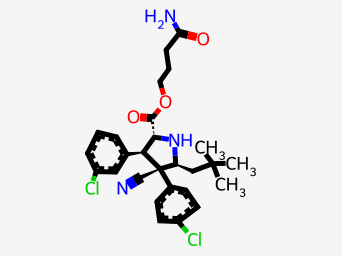 CC(C)(C)C[C@@H]1N[C@@H](C(=O)OCCCC(N)=O)[C@H](c2cccc(Cl)c2)[C@@]1(C#N)c1ccc(Cl)cc1